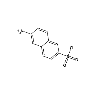 Nc1ccc2cc(S(=O)(=O)Cl)ccc2c1